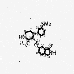 CSc1cccc([C@@H]2CCN[C@H](C)[C@H]2COc2ccc3c(c2)C(=O)NC3)c1